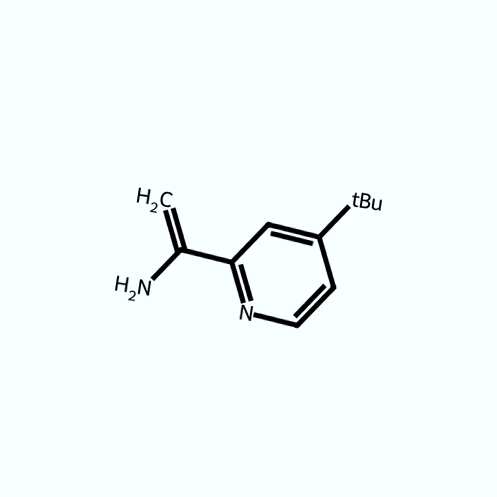 C=C(N)c1cc(C(C)(C)C)ccn1